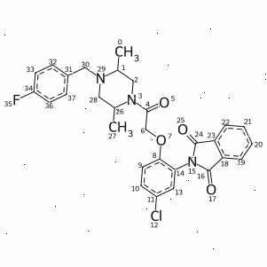 CC1CN(C(=O)COc2ccc(Cl)cc2N2C(=O)c3ccccc3C2=O)C(C)CN1Cc1ccc(F)cc1